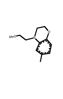 COCCN1CCOc2ccc(C)cc21